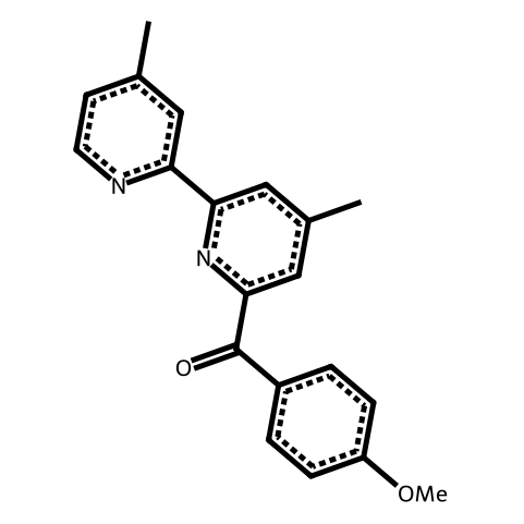 COc1ccc(C(=O)c2cc(C)cc(-c3cc(C)ccn3)n2)cc1